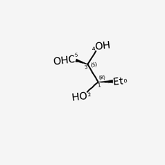 CC[C@@H](O)[C@H](O)C=O